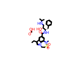 CCc1cn2c3c(cc(C(=O)N[C@@H](Cc4ccccc4)[C@H](O)CNC(C)C)cc13)N(C)S(=O)(=O)CC2.O=CO